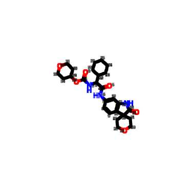 O=C(NC(C(=O)Nc1ccc2c(c1)NC(=O)C21CCOCC1)C1CCCCC1)OC1CCOCC1